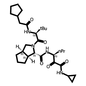 CCC[C@H](NC(=O)[C@@H]1[C@H]2CCC[C@H]2CN1C(=O)[C@@H](NC(=O)CC1CCCC1)C(C)(C)C)C(=O)C(=O)NC1CC1